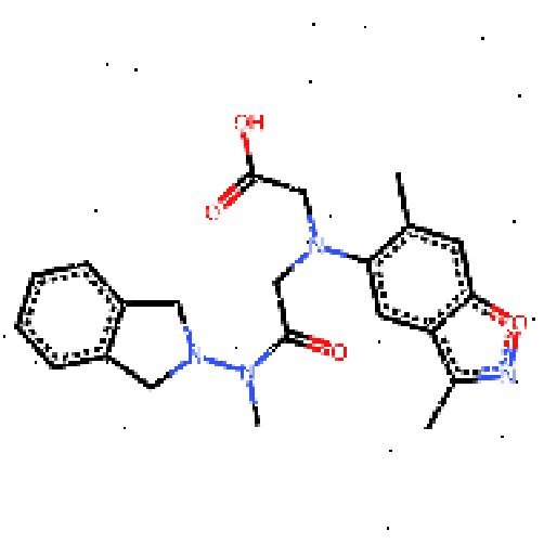 Cc1cc2onc(C)c2cc1N(CC(=O)O)CC(=O)N(C)N1Cc2ccccc2C1